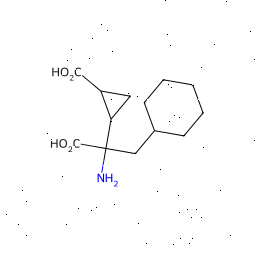 NC(CC1CCCCC1)(C(=O)O)C1CC1C(=O)O